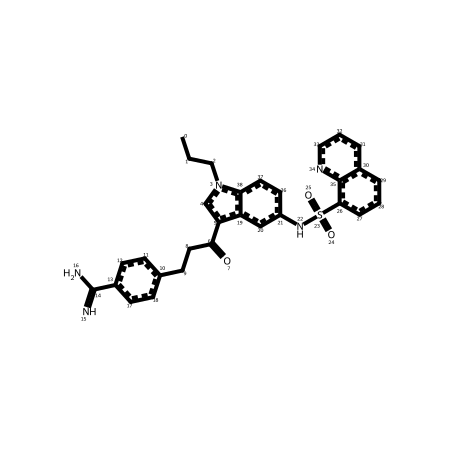 CCCn1cc(C(=O)CCc2ccc(C(=N)N)cc2)c2cc(NS(=O)(=O)c3cccc4cccnc34)ccc21